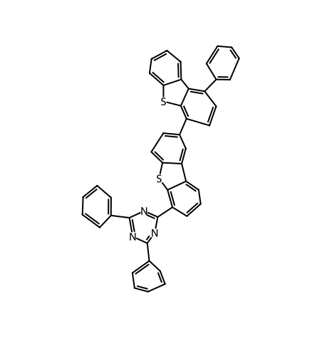 c1ccc(-c2nc(-c3ccccc3)nc(-c3cccc4c3sc3ccc(-c5ccc(-c6ccccc6)c6c5sc5ccccc56)cc34)n2)cc1